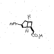 CCCC1=C[C@@H]2/C(=C\C(=O)O)C[C@@H]2C1